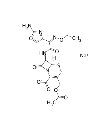 CCO/N=C(\C(=O)N[C@@H]1C(=O)N2C(C(=O)[O-])=C(COC(C)=O)CS[C@H]12)c1coc(N)n1.[Na+]